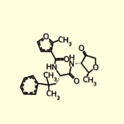 Cc1occc1C(=O)N[C@@H](CC(C)(C)c1ccccc1)C(=O)N[C@@H]1C(=O)CO[C@H]1C